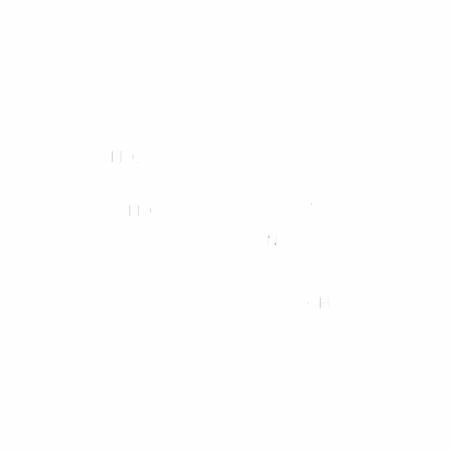 Cc1csc(-c2cccc(C(C)C)c2C)n1